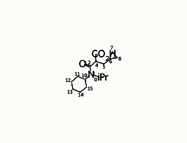 CC(C)N(C(=O)C(CC1CC1)C(=O)O)C1CCCCC1